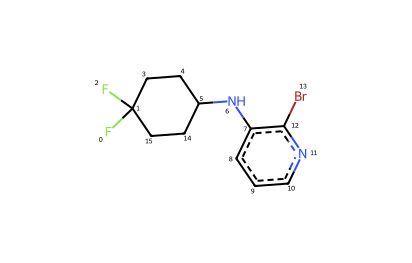 FC1(F)CCC(Nc2cccnc2Br)CC1